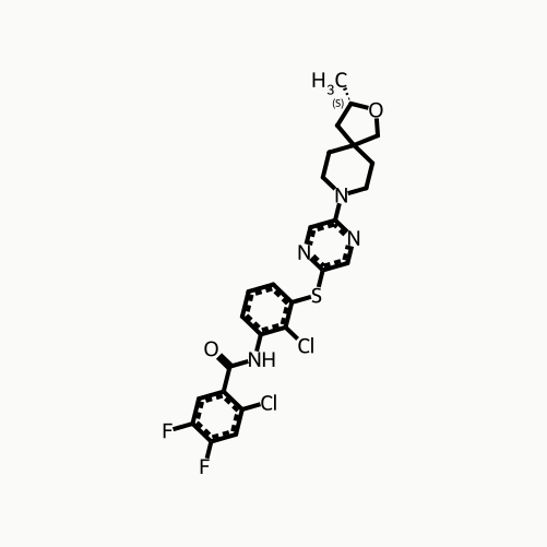 C[C@H]1CC2(CCN(c3cnc(Sc4cccc(NC(=O)c5cc(F)c(F)cc5Cl)c4Cl)cn3)CC2)CO1